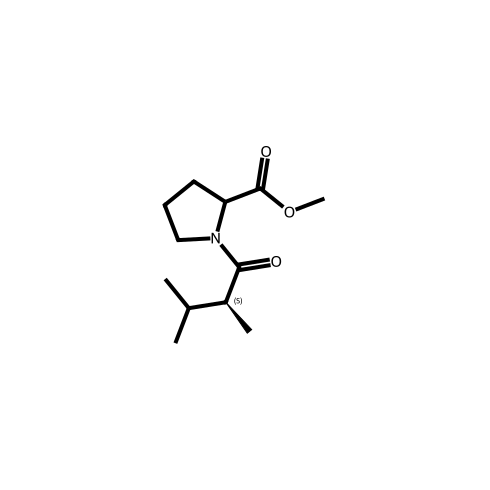 COC(=O)C1CCCN1C(=O)[C@@H](C)C(C)C